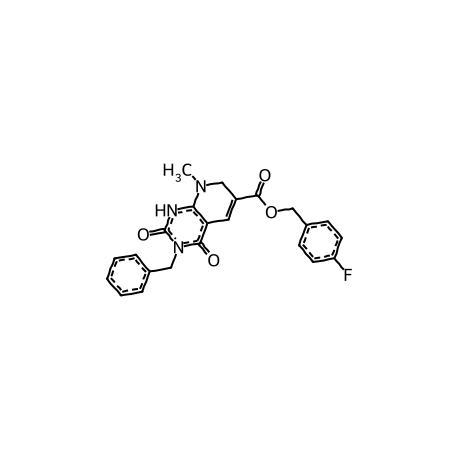 CN1CC(C(=O)OCc2ccc(F)cc2)=Cc2c1[nH]c(=O)n(Cc1ccccc1)c2=O